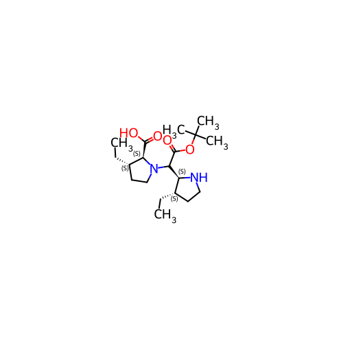 CC[C@H]1CCN[C@@H]1C(C(=O)OC(C)(C)C)N1CC[C@H](CC)[C@H]1C(=O)O